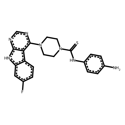 Nc1ccc(NC(=S)N2CCN(c3ncnc4[nH]c5cc(F)ccc5c34)CC2)cc1